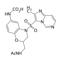 CC(=O)NCC1CN(S(=O)(=O)c2c(C)nc3ccncn23)c2cc(NC(=O)O)ccc2O1